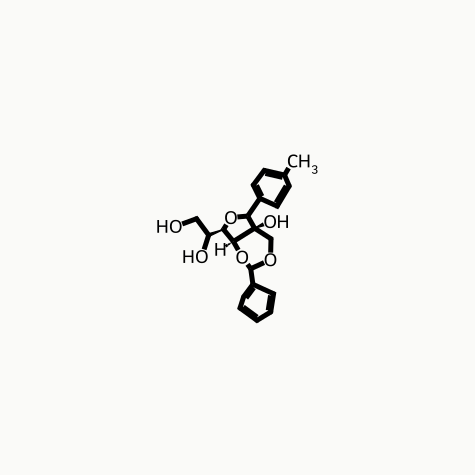 Cc1ccc(C2O[C@H](C(O)CO)[C@@H]3OC(c4ccccc4)OC[C@@]23O)cc1